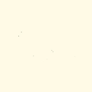 CCCNC(=O)O[C@H]1CC[C@@H](c2cc(NC(=O)Cc3cncs3)n[nH]2)C1